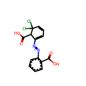 O=C(O)c1ccccc1/N=N/C1=CC=CC(Cl)(Cl)C1C(=O)O